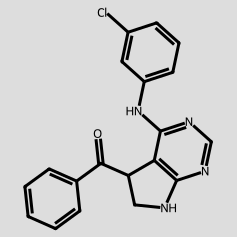 O=C(c1ccccc1)C1CNc2ncnc(Nc3cccc(Cl)c3)c21